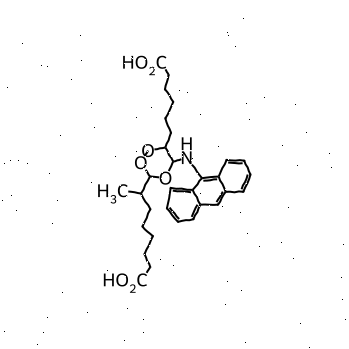 CC(CCCCCC(=O)O)C1OOC(CCCCCC(=O)O)C(Nc2c3ccccc3cc3ccccc23)O1